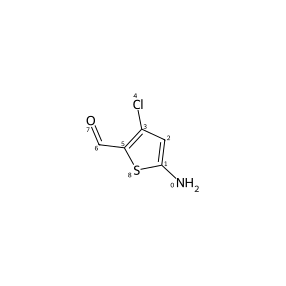 Nc1cc(Cl)c(C=O)s1